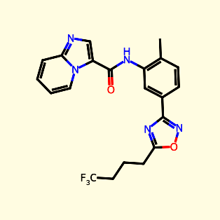 Cc1ccc(-c2noc(CCCC(F)(F)F)n2)cc1NC(=O)c1cnc2ccccn12